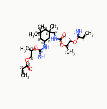 C=CC(=N)OCC(C)OC(=O)NCC1(C)CC(NC(=N)OC(C)COC(=O)C=C)CC(C)(C)C1